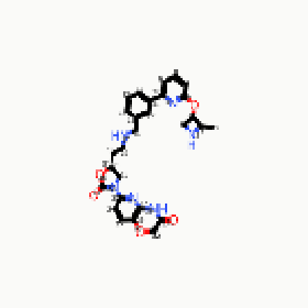 CC1NCC1Oc1cccc(-c2cccc(CNCC[C@H]3CN(c4ccc5c(n4)NC(=O)CO5)C(=O)O3)c2)n1